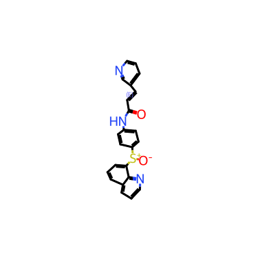 O=C(/C=C/c1cccnc1)Nc1ccc([S+]([O-])c2cccc3cccnc23)cc1